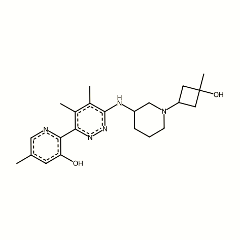 Cc1cnc(-c2nnc(NC3CCCN(C4CC(C)(O)C4)C3)c(C)c2C)c(O)c1